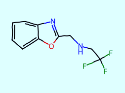 FC(F)(F)CNCc1nc2ccccc2o1